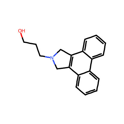 OCCCN1Cc2c(c3ccccc3c3ccccc23)C1